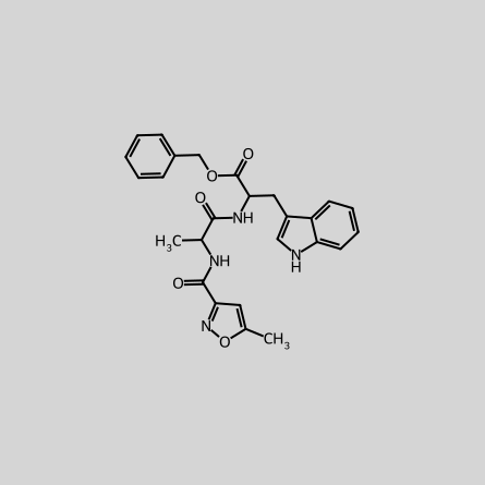 Cc1cc(C(=O)NC(C)C(=O)NC(Cc2c[nH]c3ccccc23)C(=O)OCc2ccccc2)no1